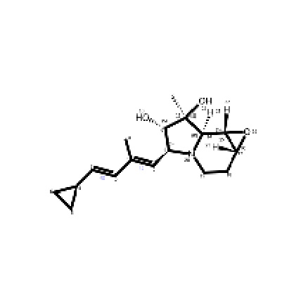 CC(/C=C/C1CC1)=C\[C@H]1[C@H](O)[C@@](C)(O)[C@H]2[C@@H]3O[C@@H]3CCN12